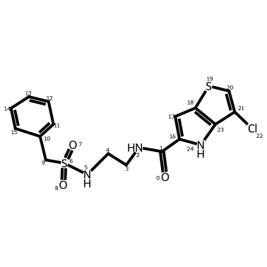 O=C(NCCNS(=O)(=O)Cc1ccccc1)c1cc2scc(Cl)c2[nH]1